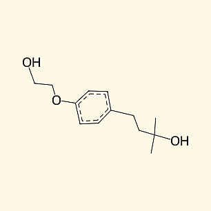 CC(C)(O)CCc1ccc(OCCO)cc1